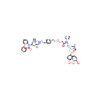 CC(C)(C)[Si](C)(C)O[C@@H](CNCCN(C(=O)CCOCCc1ccc(CCN2C[C@H]3CC(N(C(=O)O)c4ccccc4-c4ccccc4)C[C@H]3C2)cc1)C1CCCC1)c1ccc(O)c2[nH]c(=O)ccc12